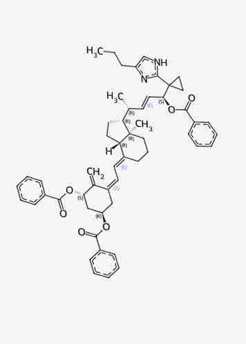 C=C1/C(=C\C=C2/CCC[C@]3(C)[C@@H]([C@H](C)/C=C/[C@H](OC(=O)c4ccccc4)C4(c5nc(CCC)c[nH]5)CC4)CC[C@@H]23)C[C@@H](OC(=O)c2ccccc2)C[C@@H]1OC(=O)c1ccccc1